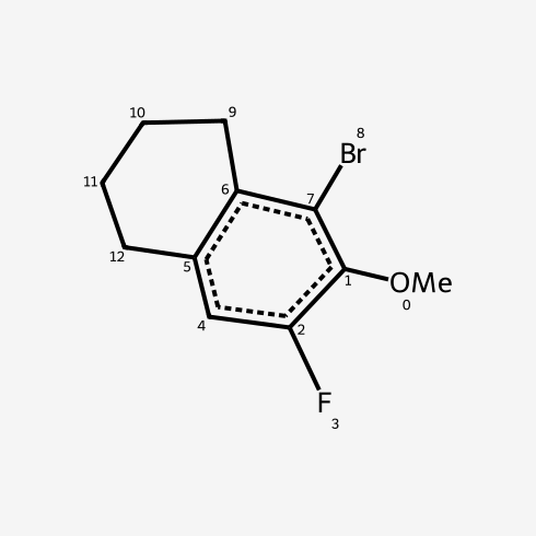 COc1c(F)cc2c(c1Br)CCCC2